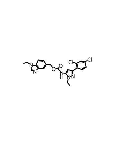 CCn1nc(-c2ccc(Cl)cc2Cl)cc1NC(=O)OCc1ccc2c(c1)ncn2CC